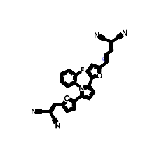 N#CC(C#N)=C/C=C/c1ccc(-c2ccc(-c3ccc(C=C(C#N)C#N)o3)n2-c2ccccc2F)o1